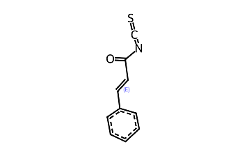 O=C(/C=C/c1ccccc1)N=C=S